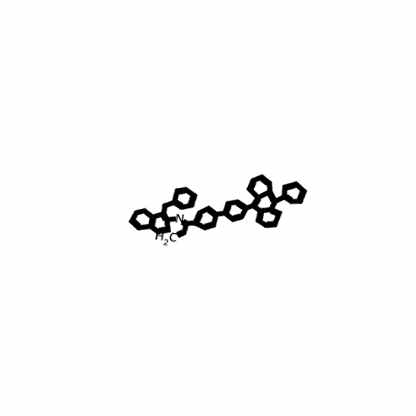 C=C/C(=N\c1ccc2c(c1Cc1ccccc1)CCC=C2)c1ccc(-c2ccc(-c3c4ccccc4c(-c4ccccc4)c4ccccc34)cc2)cc1